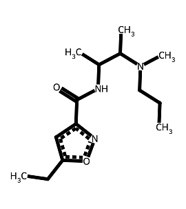 CCCN(C)C(C)C(C)NC(=O)c1cc(CC)on1